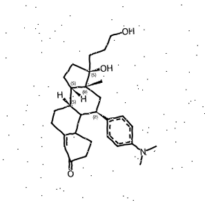 CN(C)c1ccc([C@@H]2C[C@]3(C)[C@@H](CC[C@]3(O)CCCO)[C@H]3CCC4=CC(=O)CCC4C23)cc1